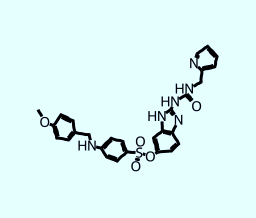 COc1ccc(CNc2ccc(S(=O)(=O)Oc3ccc4nc(NC(=O)NCc5ccccn5)[nH]c4c3)cc2)cc1